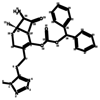 Cn1nnnc1SCC1=C(OC(=O)OC(c2ccccc2)c2ccccc2)N2C(=O)C(N)[C@@H]2SC1